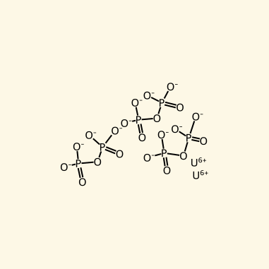 O=P([O-])([O-])OP(=O)([O-])[O-].O=P([O-])([O-])OP(=O)([O-])[O-].O=P([O-])([O-])OP(=O)([O-])[O-].[U+6].[U+6]